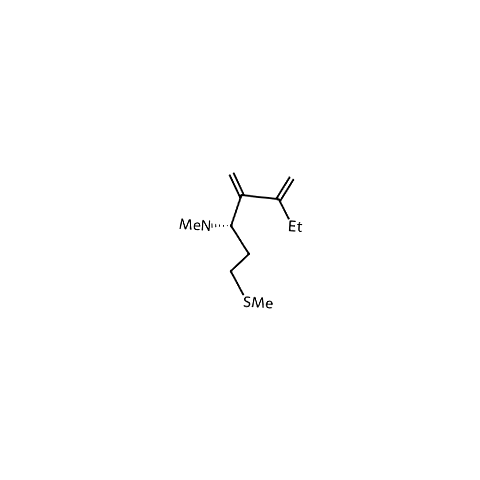 C=C(CC)C(=C)[C@H](CCSC)NC